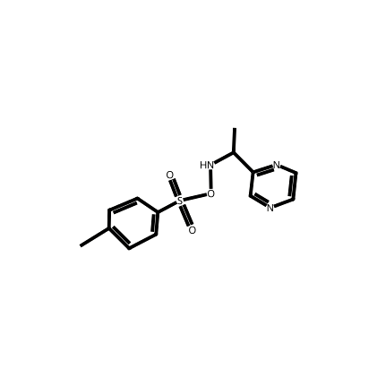 Cc1ccc(S(=O)(=O)ONC(C)c2cnccn2)cc1